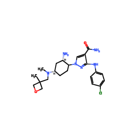 CN(CC1(C)COC1)[C@H]1CCC(n2cc(C(N)=O)c(Nc3ccc(Cl)cc3)n2)[C@@H](N)C1